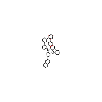 c1ccc(-c2ccccc2-c2c(-c3ccccc3)cccc2-c2cccc(N(c3ccc(-c4ccc5ccccc5c4)cc3)c3cccc4c3oc3ccccc34)c2)cc1